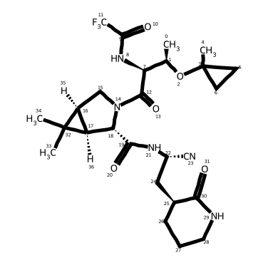 C[C@@H](OC1(C)CC1)[C@H](NC(=O)C(F)(F)F)C(=O)N1C[C@H]2[C@@H]([C@H]1C(=O)N[C@H](C#N)C[C@@H]1CCCNC1=O)C2(C)C